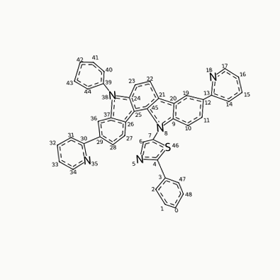 c1ccc(-c2ncc(-n3c4ccc(-c5ccccn5)cc4c4ccc5c(c6ccc(-c7ccccn7)cc6n5-c5ccccc5)c43)s2)cc1